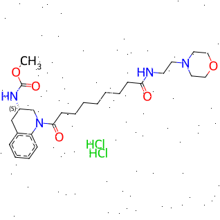 COC(=O)N[C@H]1Cc2ccccc2N(C(=O)CCCCCCCC(=O)NCCN2CCOCC2)C1.Cl.Cl